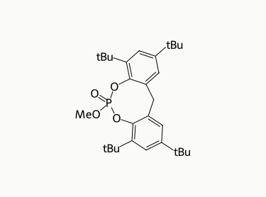 COP1(=O)Oc2c(cc(C(C)(C)C)cc2C(C)(C)C)Cc2cc(C(C)(C)C)cc(C(C)(C)C)c2O1